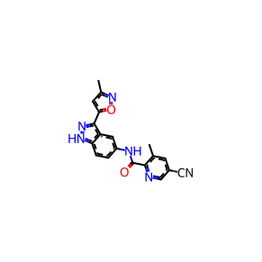 Cc1cc(-c2n[nH]c3ccc(NC(=O)c4ncc(C#N)cc4C)cc23)on1